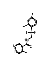 Cc1ccc(C(F)(F)CNC(=O)c2cnncc2C)c(C)c1